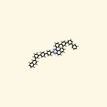 c1ccc(-c2cccc(-c3ccc(-c4cccc(-c5nc(-c6ccc(-c7ccc(-c8cccc(-c9ccc%10ccccc%10c9)c8)cc7)cc6)nc6ccc7ccccc7c56)c4)cc3)c2)cc1